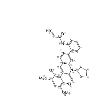 C=CC(=O)Nc1ccccc1-c1ncc2cc(-c3c(Cl)c(OC)cc(OC)c3Cl)c(=O)n(C3CCCC3)c2n1